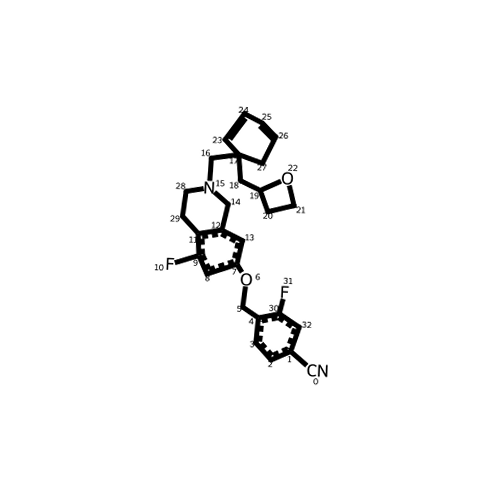 N#Cc1ccc(COc2cc(F)c3c(c2)CN(CC2(CC4CCO4)C=CC=CC2)CC3)c(F)c1